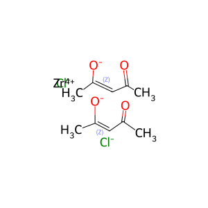 CC(=O)/C=C(/C)[O-].CC(=O)/C=C(/C)[O-].[Cl-].[Cl-].[Zr+4]